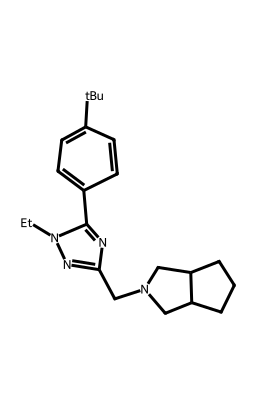 CCn1nc(CN2CC3CCCC3C2)nc1-c1ccc(C(C)(C)C)cc1